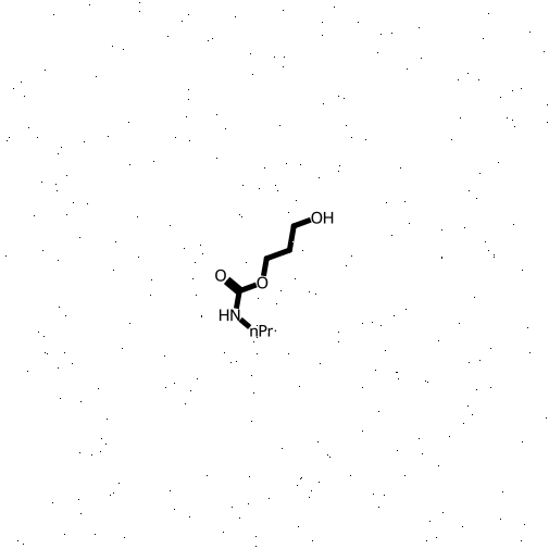 CC[CH]NC(=O)OCCCO